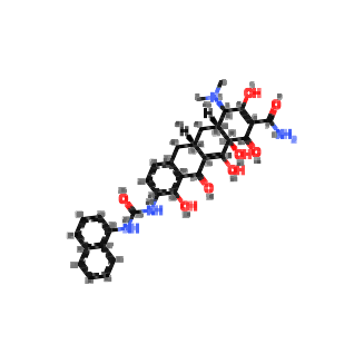 CN(C)[C@H]1C(O)=C(C(N)=O)C(=O)[C@]2(O)C(O)=C3C(=O)c4c(ccc(NC(=O)Nc5cccc6ccccc56)c4O)C[C@@H]3C[C@H]12